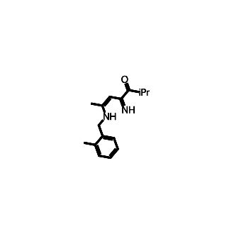 C/C(=C/C(=N)C(=O)C(C)C)NCc1ccccc1C